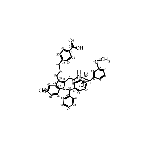 COc1cccc(CS(=O)(=O)NCCc2c(CCCc3ccc(C(=O)O)cc3)c3cc(Cl)ccc3n2C(c2ccccc2)c2ccccc2)c1